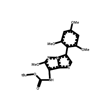 COc1cc(OC)c(-c2csc3c(NC(=O)OC(C)(C)C)c(OC)nn23)c(OC)c1